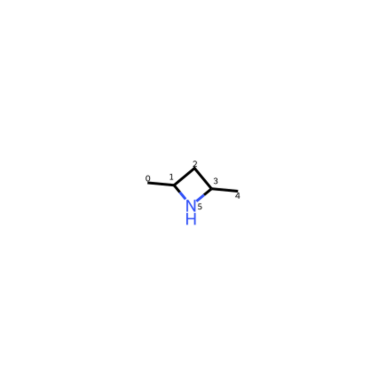 CC1CC(C)N1